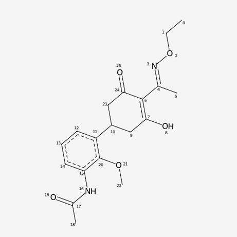 CCON=C(C)C1=C(O)CC(c2cccc(NC(C)=O)c2OC)CC1=O